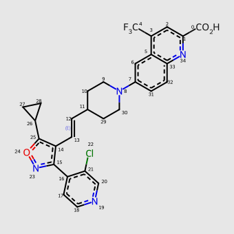 O=C(O)c1cc(C(F)(F)F)c2cc(N3CCC(/C=C/c4c(-c5ccncc5Cl)noc4C4CC4)CC3)ccc2n1